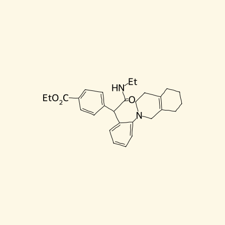 CCNC(=O)C(c1ccc(C(=O)OCC)cc1)c1ccccc1N1CCC2=C(CCCC2)C1